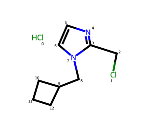 Cl.ClCc1nccn1CC1CCC1